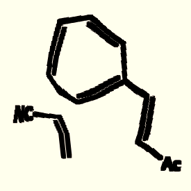 C=CC#N.CC(=O)C=Cc1ccccc1